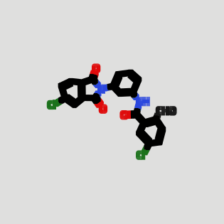 O=Cc1ccc(Cl)cc1C(=O)Nc1cccc(N2C(=O)c3ccc(Cl)cc3C2=O)c1